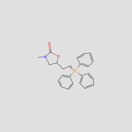 CN1CC(CC=P(c2ccccc2)(c2ccccc2)c2ccccc2)OC1=O